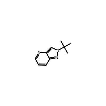 CC(C)(C)n1cc2ncccc2n1